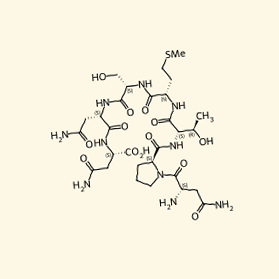 CSCC[C@H](NC(=O)[C@@H](NC(=O)[C@@H]1CCCN1C(=O)[C@@H](N)CC(N)=O)[C@@H](C)O)C(=O)N[C@@H](CO)C(=O)N[C@@H](CC(N)=O)C(=O)N[C@@H](CC(N)=O)C(=O)O